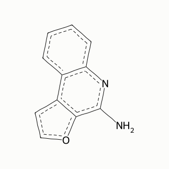 Nc1nc2ccccc2c2ccoc12